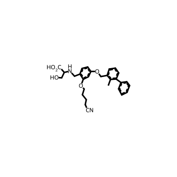 Cc1c(COc2ccc(CNC(CO)C(=O)O)c(OCCCCC#N)c2)cccc1-c1ccccc1